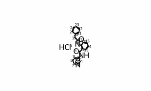 Cl.O=C(NC1CN2CCC1CC2)c1cccc2oc(Cc3ccccc3)nc12